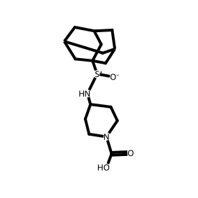 O=C(O)N1CCC(N[S+]([O-])C23CC4CC(CC(C4)C2)C3)CC1